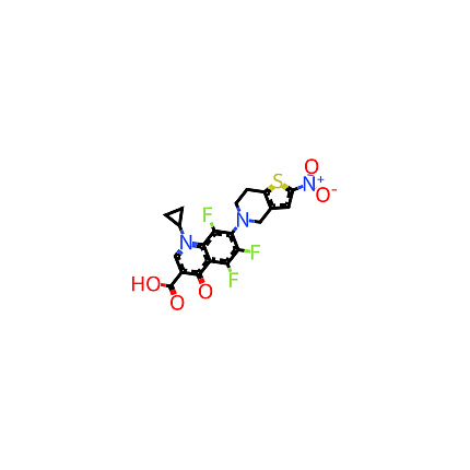 O=C(O)c1cn(C2CC2)c2c(F)c(N3CCc4sc([N+](=O)[O-])cc4C3)c(F)c(F)c2c1=O